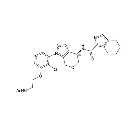 CC(=O)NCCOc1cccc(-n2ncc3c2COC[C@@H]3NC(=O)c2ncn3c2CCCC3)c1Cl